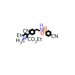 CCOC(=O)c1c(-c2ccc(CCNS(=O)(=O)c3ccc(C#N)cc3)cc2)c(C#N)c(CC)n1C